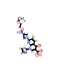 COCCONC1CN(c2nc3c(cc2F)c(=O)c(C(=O)O)cn3-c2nccs2)C1